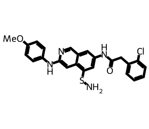 COc1ccc(Nc2cc3c(SN)cc(NC(=O)Cc4ccccc4Cl)cc3cn2)cc1